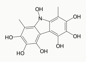 Cc1c(O)c(O)c(O)c2c3c(O)c(O)c(O)c(C)c3n(O)c12